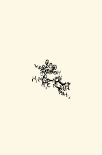 C[C@H](COP(=O)(O)OP(=O)(O)OP(=O)(O)O)C[C@]1(C)C(n2cnc3c(=O)[nH]c(N)nc32)[C@@H]1O